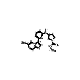 CC(C)(C)OC(=O)N1CCC(Nc2cccc(-c3cnc4cnc(C(C)(C)C)cn34)n2)C1